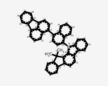 CC1(C)c2ccccc2-c2ccc3c4ccccc4n(-c4ccc(-c5ccc6c7c(cccc57)-c5ccccc5-6)c5ccccc45)c3c21